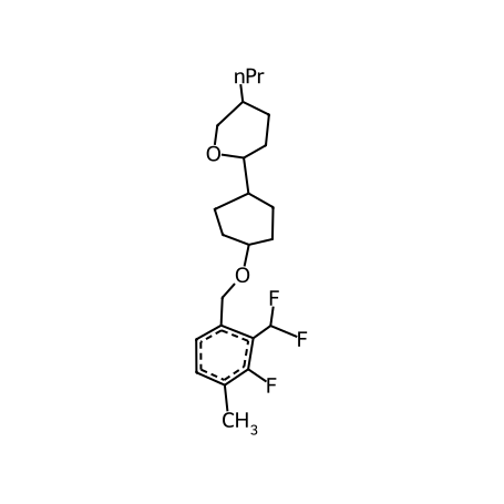 CCCC1CCC(C2CCC(OCc3ccc(C)c(F)c3C(F)F)CC2)OC1